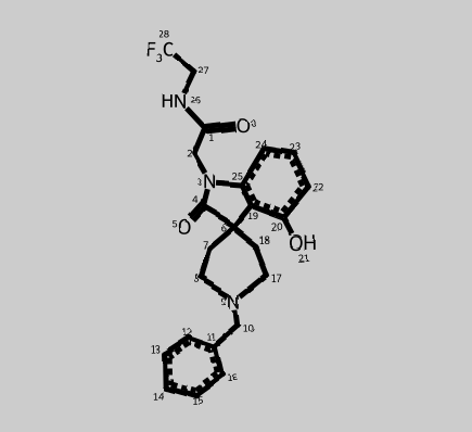 O=C(CN1C(=O)C2(CCN(Cc3ccccc3)CC2)c2c(O)cccc21)NCC(F)(F)F